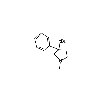 CN1CCC(c2ccccc2)(C(C)(C)C)C1